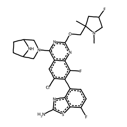 CN1CC(F)CC1(C)COc1nc(N2CC3CCC(C2)N3)c2cc(Cl)c(-c3ccc(F)c4sc(N)nc34)c(F)c2n1